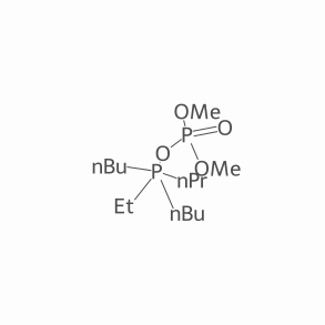 CCCCP(CC)(CCC)(CCCC)OP(=O)(OC)OC